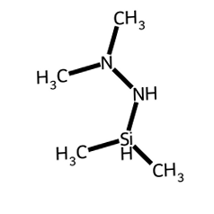 CN(C)N[SiH](C)C